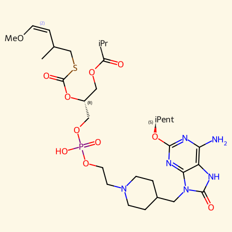 CCC[C@H](C)Oc1nc(N)c2[nH]c(=O)n(CC3CCN(CCOP(=O)(O)OC[C@@H](COC(=O)C(C)C)OC(=O)SCC(C)/C=C\OC)CC3)c2n1